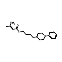 CC(N)=CC(=O)OCCCCN1CCN(c2ccccc2)CC1